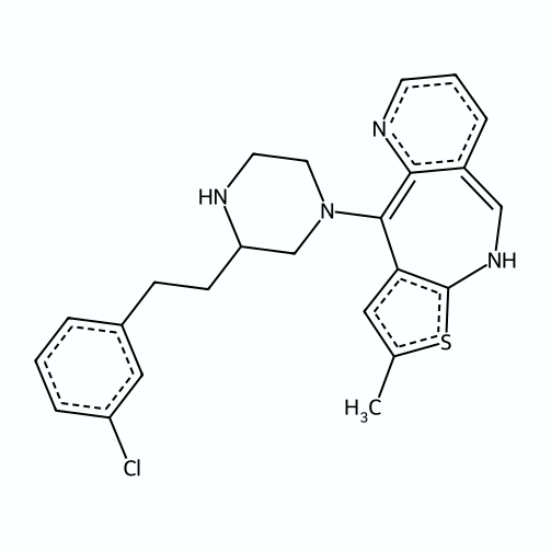 Cc1cc2c(s1)NC=c1cccnc1=C2N1CCNC(CCc2cccc(Cl)c2)C1